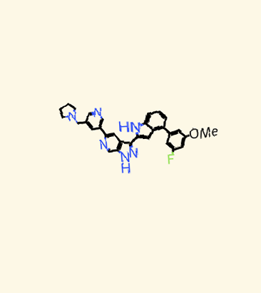 COc1cc(F)cc(-c2cccc3[nH]c(-c4n[nH]c5cnc(-c6cncc(CN7CCCC7)c6)cc45)cc23)c1